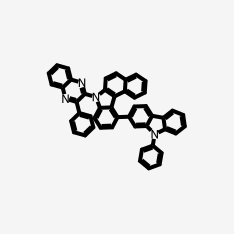 c1ccc(-c2nc3ccccc3nc2-n2c3cccc(-c4ccc5c6ccccc6n(-c6ccccc6)c5c4)c3c3c4ccccc4ccc32)cc1